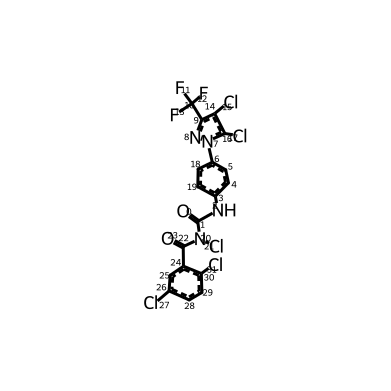 O=C(Nc1ccc(-n2nc(C(F)(F)F)c(Cl)c2Cl)cc1)N(Cl)C(=O)c1cc(Cl)ccc1Cl